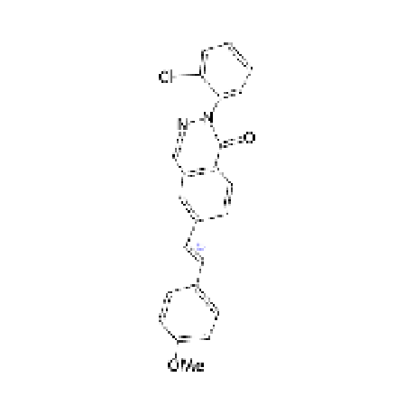 COc1ccc(/C=C/c2ccc3c(=O)n(-c4ccccc4Cl)ncc3c2)cc1